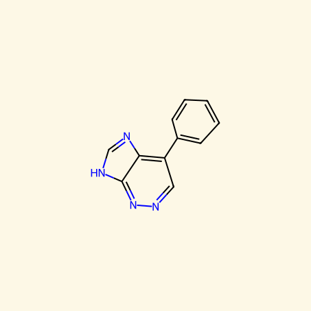 c1ccc(-c2cnnc3[nH]cnc23)cc1